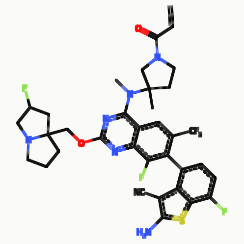 C=CC(=O)N1CCC(C)(N(C)c2nc(OCC34CCCN3CC(F)C4)nc3c(F)c(-c4ccc(F)c5sc(N)c(C#N)c45)c(C(F)(F)F)cc23)C1